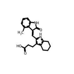 Cc1cccc2c1/C(=C/c1[nH]c3c(c1CCC(=O)O)CCCC3)C(=O)N2